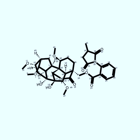 CO[C@H]1[C@@H]2C[C@@H]3[C@H]1[C@](O)(C[C@@H]2OC)[C@]1(O)C2NC(=O)[C@]4(COC(=O)c5ccccc5N5C(=O)CC(C)C5=O)CC[C@H](OC)[C@@]23[C@@H]4[C@@H]1OC